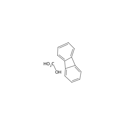 O=C(O)O.c1ccc2c(c1)-c1ccccc1-2